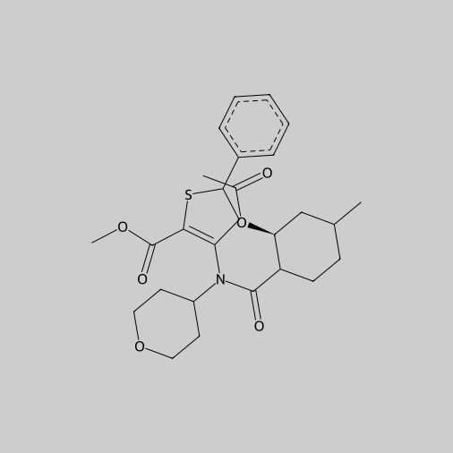 COC(=O)C1=C(N(C(=O)C2CCC(C)C[C@@H]2OC(C)=O)C2CCOCC2)CC(c2ccccc2)S1